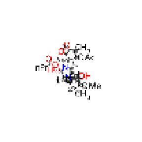 CCCC(=O)OC[C@H]1c2c(c(OC(C)=O)c(C)c3c2OCO3)CC2[C@@H]3c4c(cc(C)c(OC)c4O)C[C@H](C(O)N21)N3C